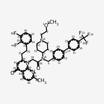 COCCN1CCC(N(Cc2ccc(-c3ccc(C(F)(F)F)cc3)cc2)C(=O)Cn2c(CCc3cccc(F)c3F)cc(=O)c3ccc(C)nc32)CC1